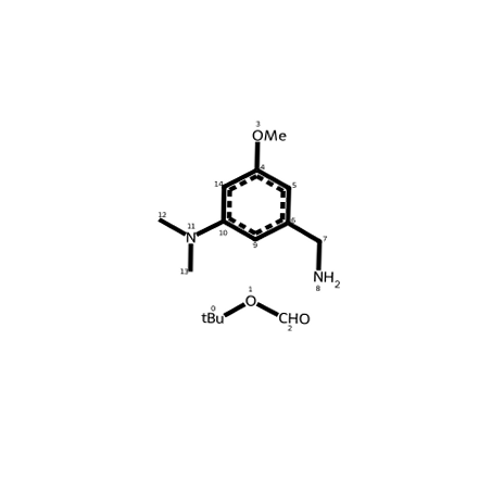 CC(C)(C)OC=O.COc1cc(CN)cc(N(C)C)c1